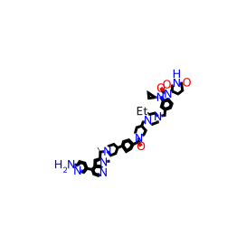 CC[C@H]1CN(Cc2ccc3c(c2)n(C2CC2)c(=O)n3C2CCC(=O)NC2=O)CCN1CC1CCN(C(=O)c2ccc(C3CCN([C@@H](C)c4cc5c(-c6ccc(N)nc6)ccnc5n4C)CC3)cc2)CC1